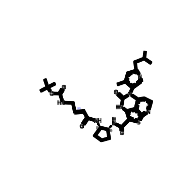 Cc1cc(CC(C)C)ncc1N1C(=O)Nc2c(C(=O)N[C@@H]3CCC[C@@H]3NC(=O)/C=C/CNC(=O)OC(C)(C)C)sc3nccc1c23